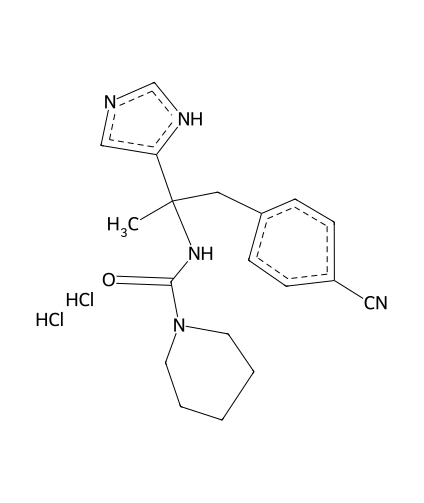 CC(Cc1ccc(C#N)cc1)(NC(=O)N1CCCCC1)c1cnc[nH]1.Cl.Cl